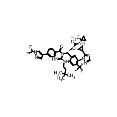 CC(C)(C)CCNC(=N)N(C(=O)c1ccc(-c2cnn(C(F)F)c2)cc1)[C@H](COC(=O)NC1(C)CC1)c1ccc(C(F)(F)F)c(-n2ncnc2C2CC2)c1